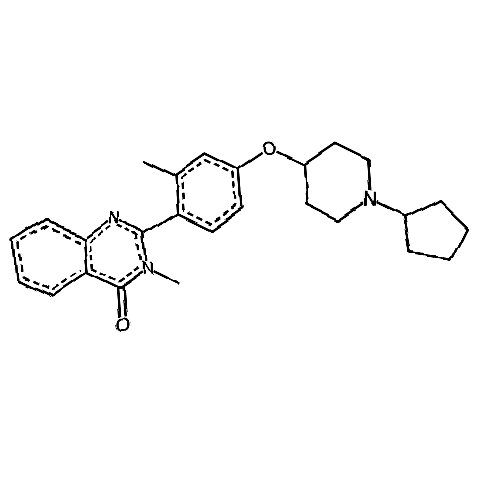 Cc1cc(OC2CCN(C3CCCC3)CC2)ccc1-c1nc2ccccc2c(=O)n1C